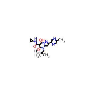 Cc1cnc(-c2cc3n(CC(C)(C)C)c(=O)c(C(=O)NC4CC4)c(O)n3n2)cn1